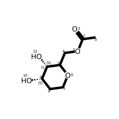 CC(=O)OCC1OCC[C@H](O)[C@@H]1O